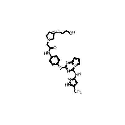 Cc1cc(Nc2nc(Sc3ccc(NC(=O)CN4CC[C@@H](OCCO)C4)cc3)nc3cccn23)n[nH]1